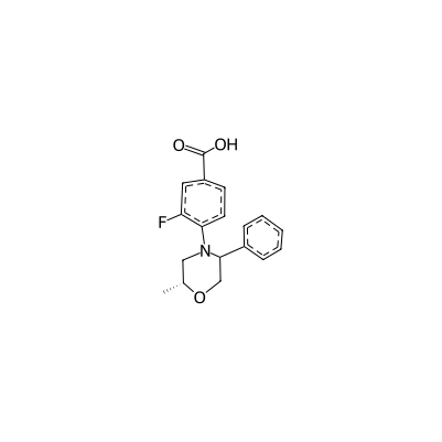 C[C@@H]1CN(c2ccc(C(=O)O)cc2F)C(c2ccccc2)CO1